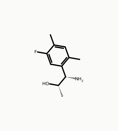 Cc1cc(C)c([C@H](N)[C@H](C)O)cc1F